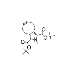 Cn1c(C(=O)OC(C)(C)C)c2c(c1C(=O)OC(C)(C)C)CCC#CCC2